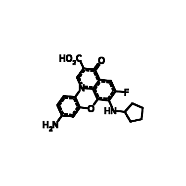 Nc1ccc2c(c1)Oc1c(NC3CCCC3)c(F)cc3c(=O)c(C(=O)O)cn-2c13